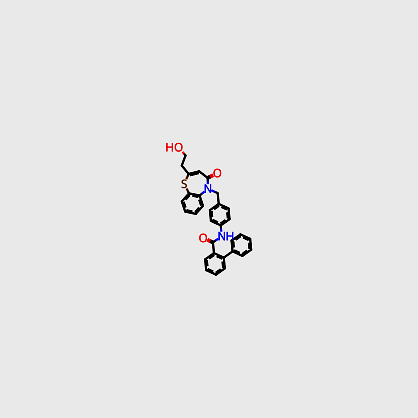 O=C(Nc1ccc(CN2C(=O)C=C(CCO)Sc3ccccc32)cc1)c1ccccc1-c1ccccc1